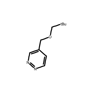 CC(C)(C)COCc1ccnnc1